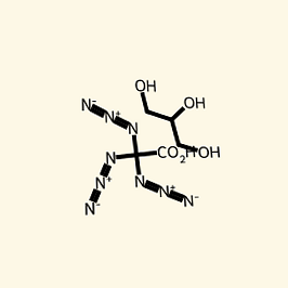 OCC(O)CO.[N-]=[N+]=NC(N=[N+]=[N-])(N=[N+]=[N-])C(=O)O